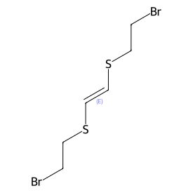 BrCCS/C=C/SCCBr